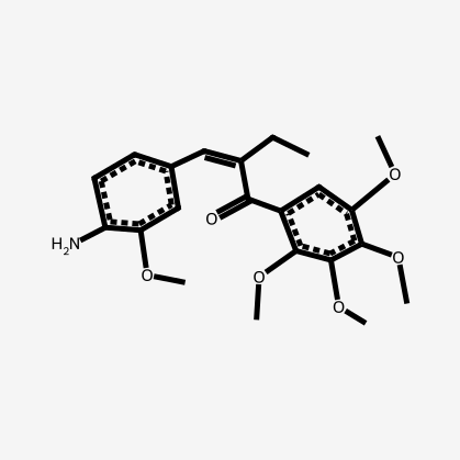 CCC(=Cc1ccc(N)c(OC)c1)C(=O)c1cc(OC)c(OC)c(OC)c1OC